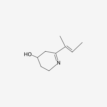 C/C=C(\C)C1=NCCC(O)C1